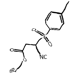 [C-]#[N+]C(CC(=O)OC(C)(C)C)S(=O)(=O)c1ccc(C)cc1